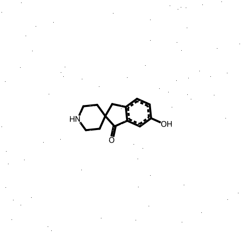 O=C1c2cc(O)ccc2CC12CCNCC2